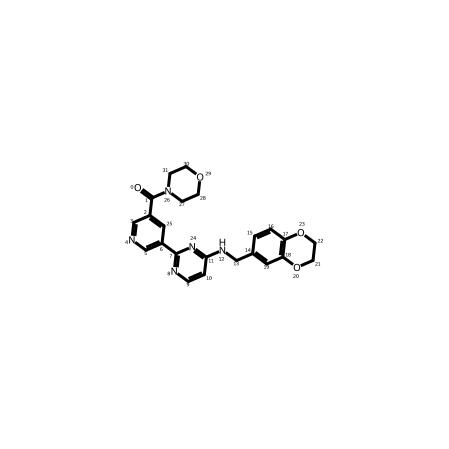 O=C(c1cncc(-c2nccc(NCc3ccc4c(c3)OCCO4)n2)c1)N1CCOCC1